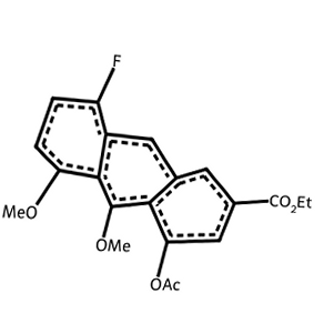 CCOC(=O)c1cc(OC(C)=O)c2c(OC)c3c(OC)ccc(F)c3cc2c1